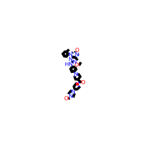 CCOc1cc(N2CCC(C(=O)N3CCC(N4CCN(C=O)CC4)CC3)CC2)ccc1Nc1ncc(N(C)C=O)c(N(C)c2ccccc2C)n1